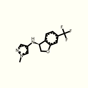 Cn1cc(N[C@@H]2COc3cc(C(F)(F)F)ccc32)cn1